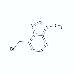 Cn1cnc2c(CBr)ccnc21